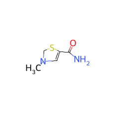 CN1C=C(C(N)=O)SC1